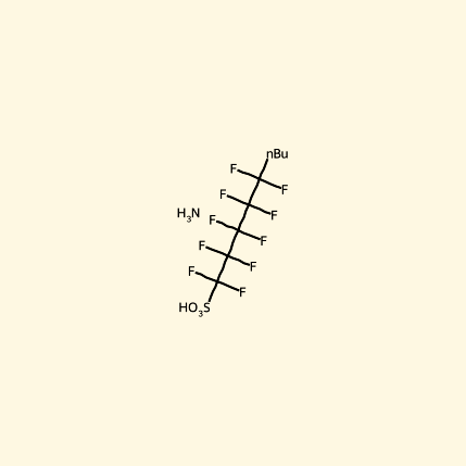 CCCCC(F)(F)C(F)(F)C(F)(F)C(F)(F)C(F)(F)S(=O)(=O)O.N